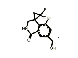 O=C1NCC2(CC2(F)F)c2c(Br)cc(CO)cc21